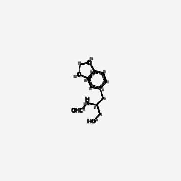 O=CNC(CO)Cc1ccc2c(c1)OCO2